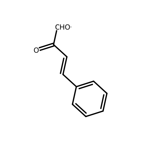 O=[C]C(=O)C=Cc1ccccc1